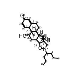 CCCC(CCC)N1C[C@@H]2C[C@H]3[C@@H]4CCC5=CC(=O)C=C[C@]5(C)[C@@]4(F)[C@@H](O)C[C@]3(C)[C@]2(C(=O)O)O1